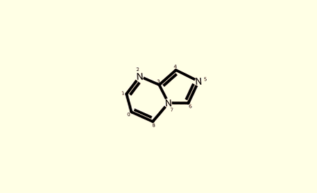 c1cnc2cncn2c1